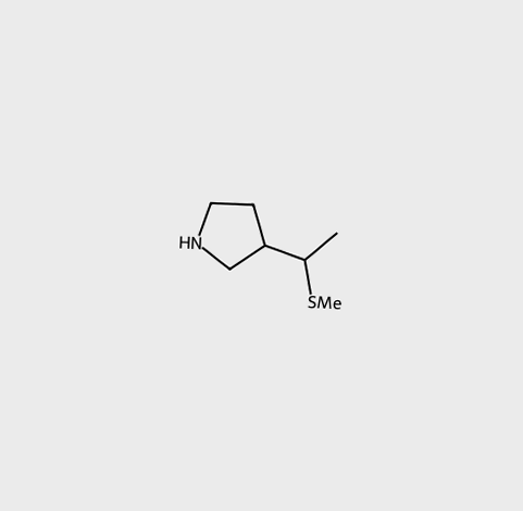 CSC(C)C1CCNC1